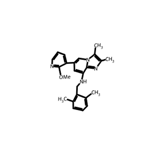 COc1ncccc1-c1cc(NCc2c(C)cccc2C)c2nc(C)c(C)n2c1